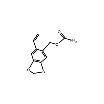 C=Cc1cc2c(cc1COC(N)=O)OCO2